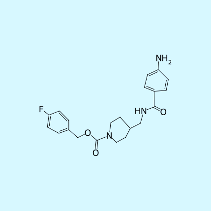 Nc1ccc(C(=O)NCC2CCN(C(=O)OCc3ccc(F)cc3)CC2)cc1